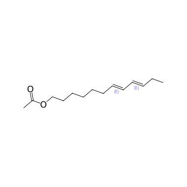 CC/C=C/C=C/CCCCCCOC(C)=O